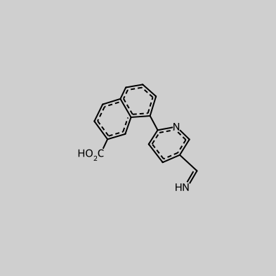 N=Cc1ccc(-c2cccc3ccc(C(=O)O)cc23)nc1